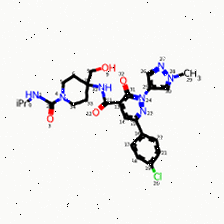 CC(C)NC(=O)N1CCC(CO)(NC(=O)c2cc(-c3ccc(Cl)cc3)nn(-c3cnn(C)c3)c2=O)CC1